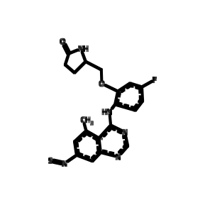 Cc1cc(N=S)cc2ncnc(Nc3ccc(F)cc3OCC3CCC(=O)N3)c12